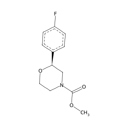 COC(=O)N1CCO[C@@H](c2ccc(F)cc2)C1